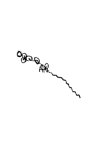 CCCCCCCCCCCCCCCCCCNC(=O)OC[C@H]1C[C@@H](COC(=O)Oc2ccccc2)O1